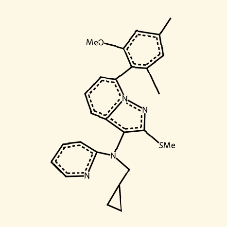 COc1cc(C)cc(C)c1-c1cccc2c(N(CC3CC3)c3ccccn3)c(SC)nn12